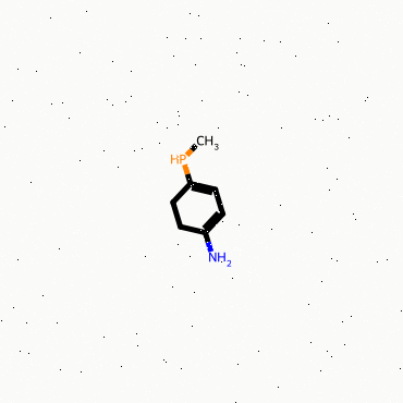 CPC1=CC=C(N)CC1